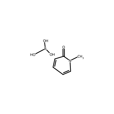 Cn1ccccc1=O.OB(O)O